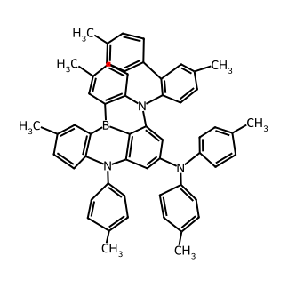 Cc1ccc(-c2cc(C)ccc2N2c3ccc(C)cc3B3c4cc(C)ccc4N(c4ccc(C)cc4)c4cc(N(c5ccc(C)cc5)c5ccc(C)cc5)cc2c43)cc1